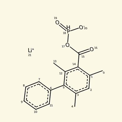 Cc1cc(C)c(-c2ccccc2)c(C)c1C(=O)O[PH](=O)[O-].[Li+]